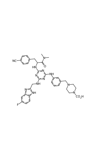 CN(C)C(=O)C(Cc1ccc(C#N)cc1)Nc1nc(NCc2nc3cc(F)ccc3[nH]2)nc(Nc2cccc(CN3CCN(C(=O)O)CC3)c2)n1